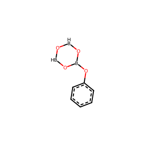 B1OBOB(Oc2ccccc2)O1